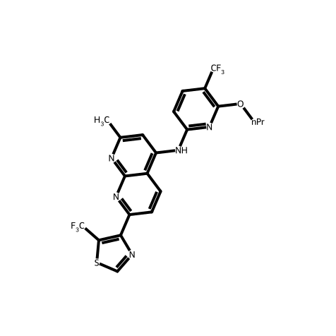 CCCOc1nc(Nc2cc(C)nc3nc(-c4ncsc4C(F)(F)F)ccc23)ccc1C(F)(F)F